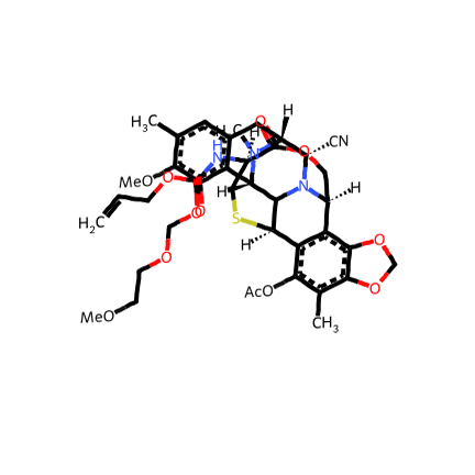 C=CCOC(=O)N[C@@H]1CS[C@@H]2c3c(OC(C)=O)c(C)c4c(c3[C@H](COC1=O)N1C2[C@@H]2c3c(cc(C)c(OC)c3OCOCCOC)C[C@H]([C@@H]1C#N)N2C)OCO4